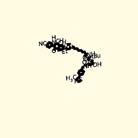 CCc1cc2c(cc1N1CCN(CCCCCCCC(=O)N[C@H](C(=O)N3C[C@H](O)C[C@H]3C(=O)NCc3ccc(-c4scnc4C)cc3)C(C)(C)C)CC1)C(C)(C)c1[nH]c3cc(C#N)ccc3c1C2=O